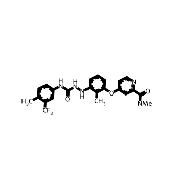 CNC(=O)c1cc(Oc2cccc(NNC(=O)Nc3ccc(C)c(C(F)(F)F)c3)c2C)ccn1